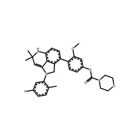 COc1cc(OC(=O)N2CCOCC2)ccc1-c1ccc2c3c1CN(c1cc(F)ccc1C)C3=CC(C)(C)N2